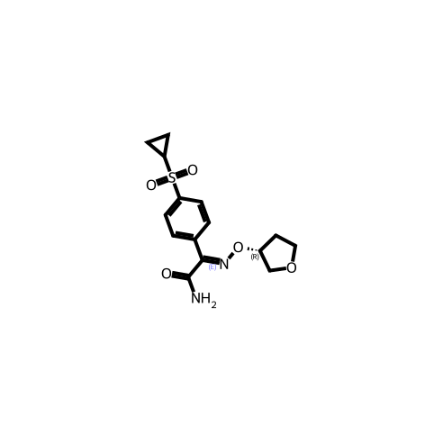 NC(=O)/C(=N/O[C@@H]1CCOC1)c1ccc(S(=O)(=O)C2CC2)cc1